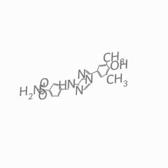 Cc1cc(-c2cnc3c(NCc4ccc(S(N)(=O)=O)cc4)nccn23)cc(C)c1O